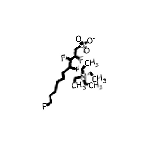 CC[N+](CC)(CC)CC.O=S(=O)([O-])CC(F)C(F)C(F)CCCCCCF